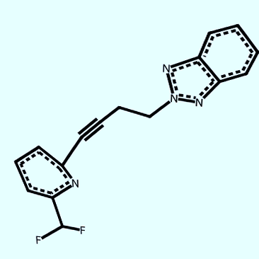 FC(F)c1cccc(C#CCCn2nc3ccccc3n2)n1